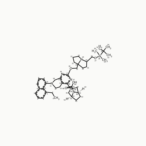 CCc1cccc2cccc(N3CCc4c(nc(OCC56CCCN5C(CO[Si](C)(C)C(C)(C)C)CC6)nc4N4C[C@H]5CC[C@@H](C4)N5C(=O)O)C3)c12